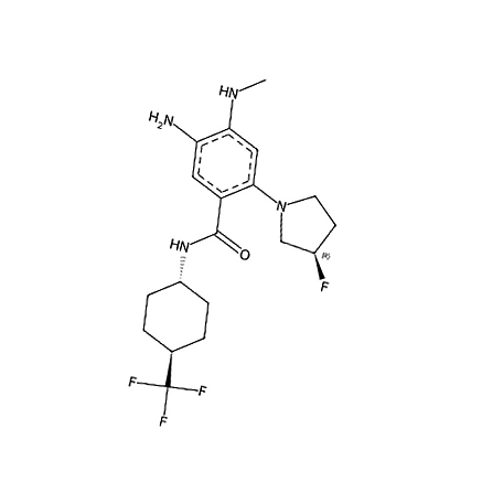 CNc1cc(N2CC[C@@H](F)C2)c(C(=O)N[C@H]2CC[C@H](C(F)(F)F)CC2)cc1N